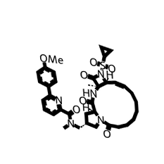 COc1ccc(-c2cccc(C(=O)N(C)C[C@@H]3C[C@H]4C(=O)N[C@@]5(C)C(=O)N(S(=O)(=O)C6CC6)[C@H]5/C=C\CCCCCCC(=O)N4C3)n2)cc1